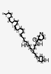 CC/C=C\C/C=C\C/C=C\C/C=C\C/C=C\C/C=C\CCCNCCN(CCCN1CCNCC1)CCNC(=O)c1cccnc1